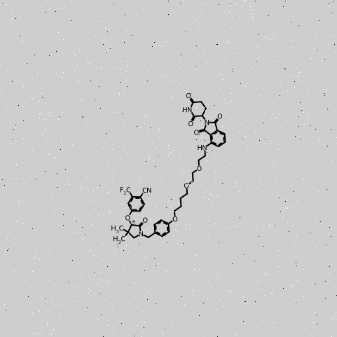 CC1(C)CN(Cc2ccc(OCCCCOCCOCCNc3cccc4c3C(=O)N(C3CCC(=O)NC3=O)C4=O)cc2)C(=O)[C@@H]1Oc1ccc(C#N)c(C(F)(F)F)c1